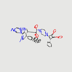 COc1cnc(-n2cncn2)c2[nH]cc(C(=O)C(=O)N3CCN(c4c(-c5ccccc5)c(=O)c4=O)CC3)c12